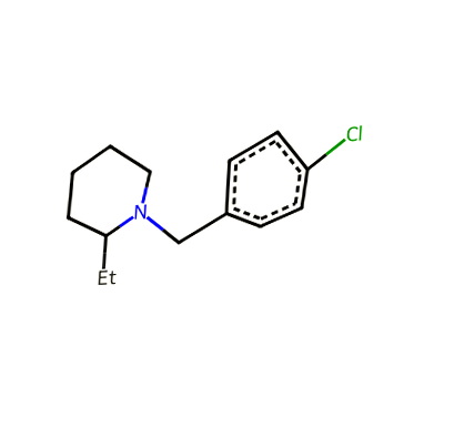 CCC1CCCCN1Cc1ccc(Cl)cc1